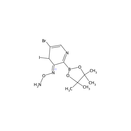 CC1(C)OB(C2=NC=C(Br)C(I)/C2=N\ON)OC1(C)C